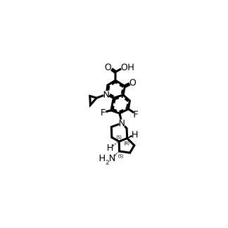 N[C@H]1CC[C@H]2CN(c3c(F)cc4c(=O)c(C(=O)O)cn(C5CC5)c4c3F)CC[C@@H]21